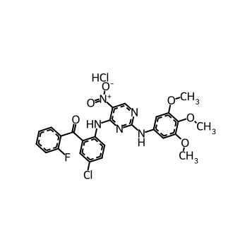 COc1cc(Nc2ncc([N+](=O)[O-])c(Nc3ccc(Cl)cc3C(=O)c3ccccc3F)n2)cc(OC)c1OC.Cl